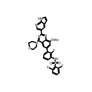 COc1cc(-c2cccc(NS(=O)(=O)c3c(F)cccc3F)c2F)cc2c(N3CCOCC3)nc(-c3cnc4[nH]ccc4c3)nc12